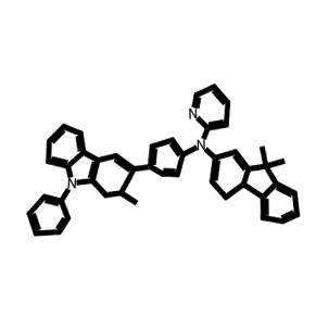 CC1Cc2c(c3ccccc3n2-c2ccccc2)C=C1c1ccc(N(C2=CCC3C(=C2)C(C)(C)c2ccccc23)c2ccccn2)cc1